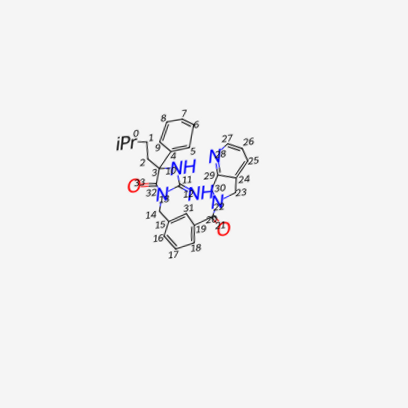 CC(C)CCC1(c2ccccc2)NC(=N)N(Cc2cccc(C(=O)N3Cc4cccnc4C3)c2)C1=O